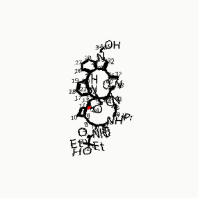 CCC(O)(CC)C(=O)N[C@H]1Cc2ccc3c(c2)[C@]24c5cccc(c5NC2O3)-c2cccc3c2c(cn3CO)-c2cnc(o2)-c2nc(oc24)[C@H](C(C)C)NC1=O